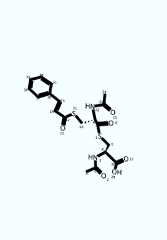 CC(=O)N[C@@H](CSC(=O)[C@H](CSC(=O)/C=C/c1ccccc1)NC(C)=O)C(=O)O